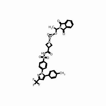 Cc1ccc(-c2cc(C(F)(F)F)nn2-c2ccc(S(=O)(=O)NC(=O)C3CN(n4on4OC(C)N4C(=O)c5ccccc5C4=O)C3)cc2)cc1